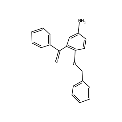 Nc1ccc(OCc2ccccc2)c(C(=O)c2ccccc2)c1